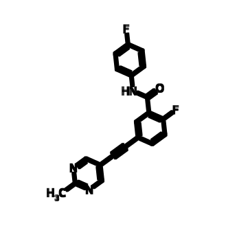 Cc1ncc(C#Cc2ccc(F)c(C(=O)Nc3ccc(F)cc3)c2)cn1